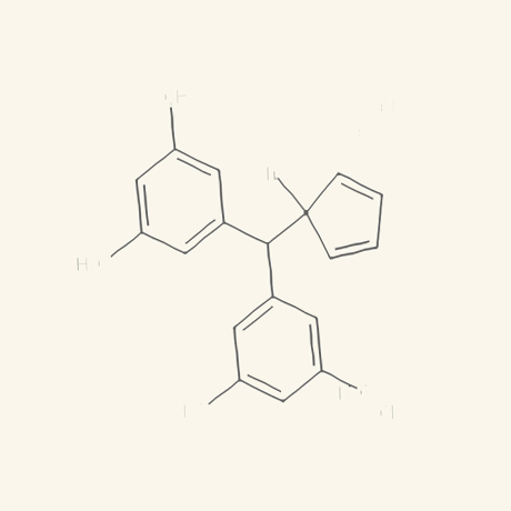 Cc1cc(C)cc(C(c2cc(C)cc(C)c2)[C]2([Ti+3])C=CC=C2)c1.[Cl-].[Cl-].[Cl-]